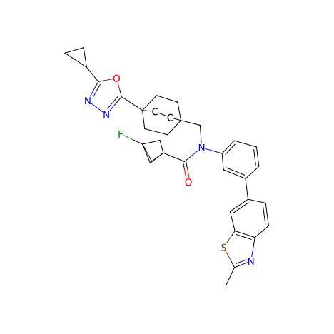 Cc1nc2ccc(-c3cccc(N(CC45CCC(c6nnc(C7CC7)o6)(CC4)CC5)C(=O)C45CC(F)(C4)C5)c3)cc2s1